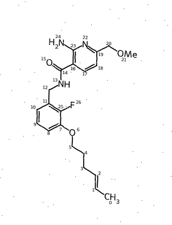 CC=CCCCOc1cccc(CNC(=O)c2ccc(COC)nc2N)c1F